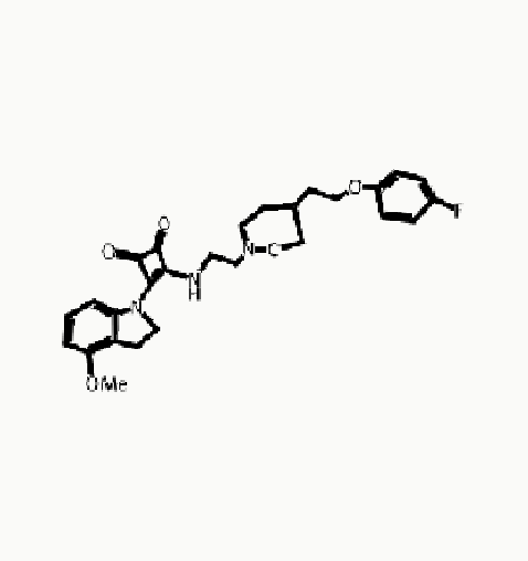 COc1cccc2c1CCN2c1c(NCCN2CCC(CCOc3ccc(F)cc3)CC2)c(=O)c1=O